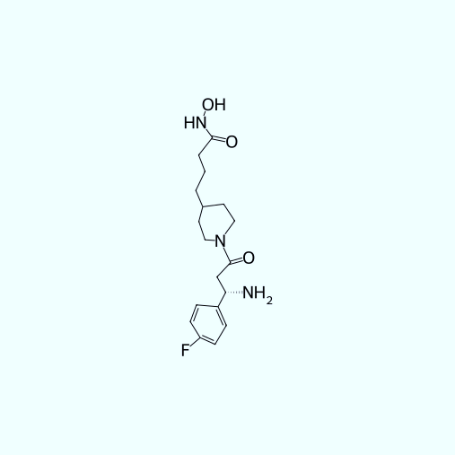 N[C@@H](CC(=O)N1CCC(CCCC(=O)NO)CC1)c1ccc(F)cc1